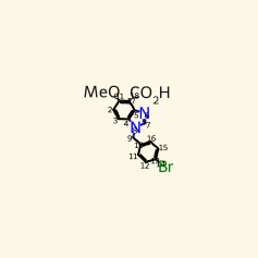 COc1ccc2c(ncn2Cc2ccc(Br)cc2)c1C(=O)O